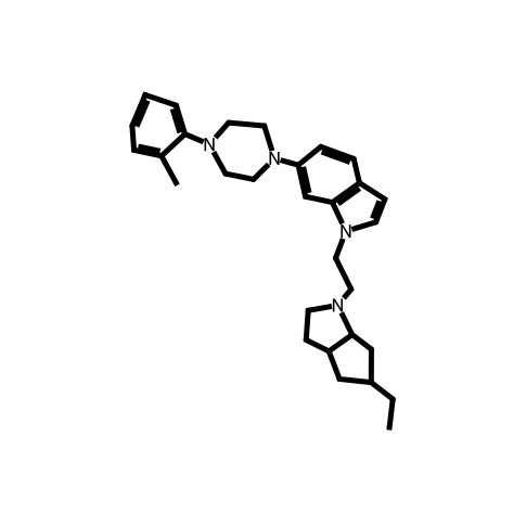 CCC1CC2CCN(CCn3ccc4ccc(N5CCN(c6ccccc6C)CC5)cc43)C2C1